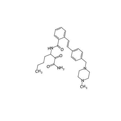 CCCCC(NC(=O)c1ccccc1C=Cc1ccc(CN2CCN(C)CC2)cc1)C(=O)C(N)=O